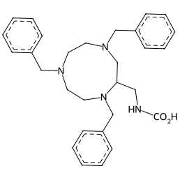 O=C(O)NCC1CN(Cc2ccccc2)CCN(Cc2ccccc2)CCN1Cc1ccccc1